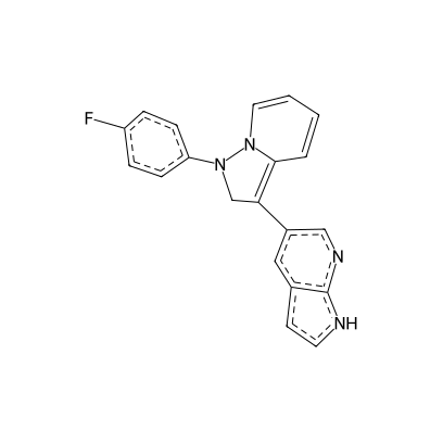 Fc1ccc(N2CC(c3cnc4[nH]ccc4c3)=C3C=CC=CN32)cc1